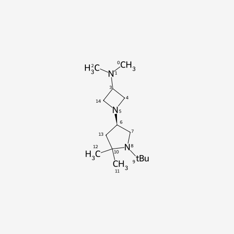 CN(C)C1CN([C@H]2CN(C(C)(C)C)C(C)(C)C2)C1